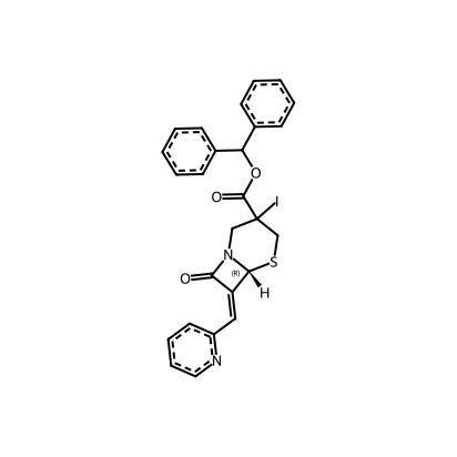 O=C1C(=Cc2ccccn2)[C@H]2SCC(I)(C(=O)OC(c3ccccc3)c3ccccc3)CN12